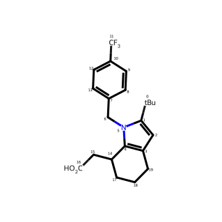 CC(C)(C)c1cc2c(n1Cc1ccc(C(F)(F)F)cc1)C(CC(=O)O)CCC2